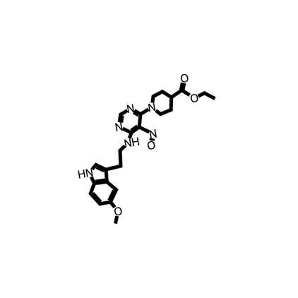 CCOC(=O)C1CCN(c2ncnc(NCCc3c[nH]c4ccc(OC)cc34)c2N=O)CC1